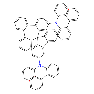 c1ccc(-c2ccccc2N(c2ccccc2)c2ccc3c(c2)-c2ccccc2C32c3ccccc3-c3ccccc3-c3ccc(N(c4ccccc4)c4ccccc4-c4ccccc4)cc32)cc1